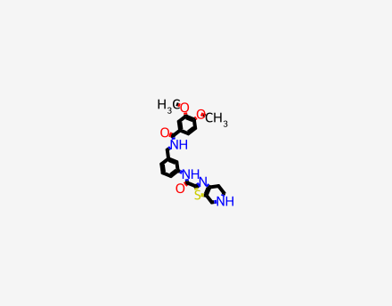 COc1ccc(C(=O)NCc2cccc(NC(=O)c3nc4c(s3)CNCC4)c2)cc1OC